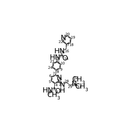 CNC(=O)c1ccc(-c2ccc(NC(=O)NCc3cccnc3)cc2)nc1NCCN(C)C